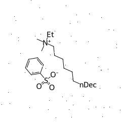 CCCCCCCCCCCCCCCC[N+](C)(C)CC.O=S(=O)([O-])c1ccccc1